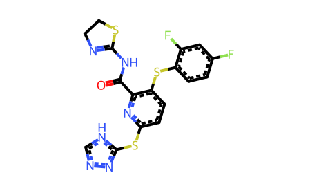 O=C(NC1=NCCS1)c1nc(Sc2nnc[nH]2)ccc1Sc1ccc(F)cc1F